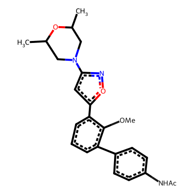 COc1c(-c2ccc(NC(C)=O)cc2)cccc1-c1cc(N2CC(C)OC(C)C2)no1